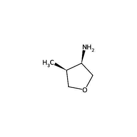 C[C@@H]1COC[C@@H]1N